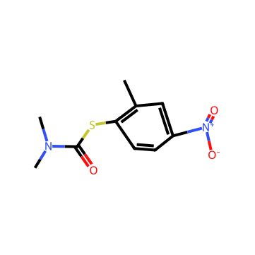 Cc1cc([N+](=O)[O-])ccc1SC(=O)N(C)C